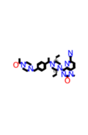 CC[C@H]1CN(C(C)c2ccc(CN3CCN(C(C)=O)CC3)cc2)[C@H](CC)CN1c1nc(=O)n(C)c2ccc(C#N)nc12